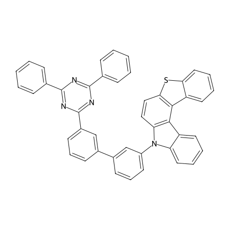 c1ccc(-c2nc(-c3ccccc3)nc(-c3cccc(-c4cccc(-n5c6ccccc6c6c7c(ccc65)sc5ccccc57)c4)c3)n2)cc1